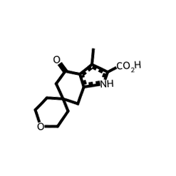 Cc1c(C(=O)O)[nH]c2c1C(=O)CC1(CCOCC1)C2